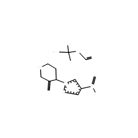 CC(C)(C)OC=O.O=C1CNCCC1n1cc([N+](=O)[O-])cn1